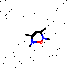 CC1=CC(C)N(C)ON1C